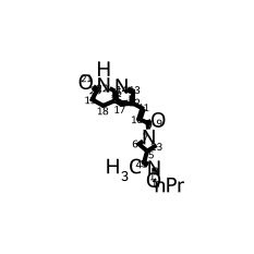 CCCON=C(C)C1CN(C(=O)C=Cc2cnc3c(c2)CCC(=O)N3)C1